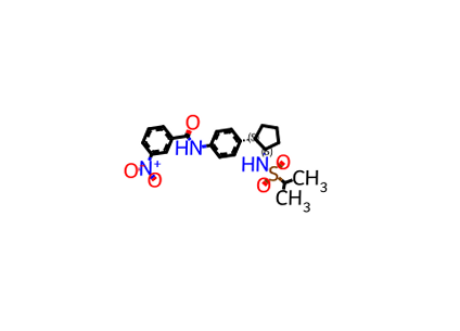 CC(C)S(=O)(=O)N[C@H]1CCC[C@H]1c1ccc(NC(=O)c2cccc([N+](=O)[O-])c2)cc1